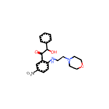 O=C(c1cc([N+](=O)[O-])ccc1NCCN1CCOCC1)C(O)c1ccccc1